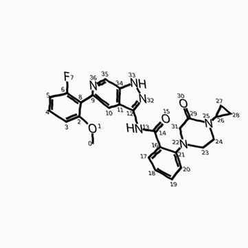 COc1cccc(F)c1-c1cc2c(NC(=O)c3ccccc3N3CCN(C4CC4)C(=O)C3)n[nH]c2cn1